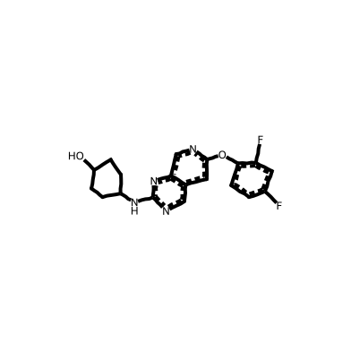 OC1CCC(Nc2ncc3cc(Oc4ccc(F)cc4F)ncc3n2)CC1